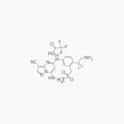 CS(=O)(=O)Cc1cc(Nc2cc(NC3CC3)n3ncc(C#N)c3n2)ccc1C1(CN)CC1.O=C(O)C(F)(F)F